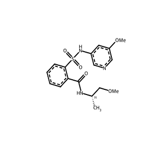 COC[C@H](C)NC(=O)c1ccccc1S(=O)(=O)Nc1cncc(OC)c1